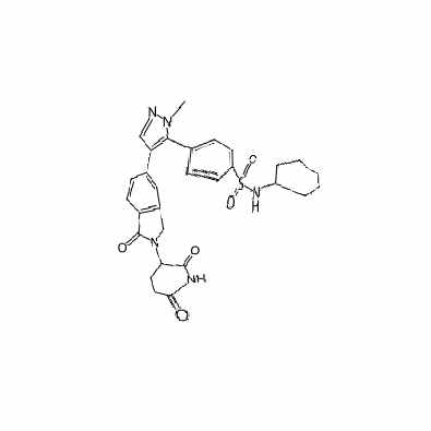 Cn1ncc(-c2ccc3c(c2)CN(C2CCC(=O)NC2=O)C3=O)c1-c1ccc(S(=O)(=O)NC2CCCCC2)cc1